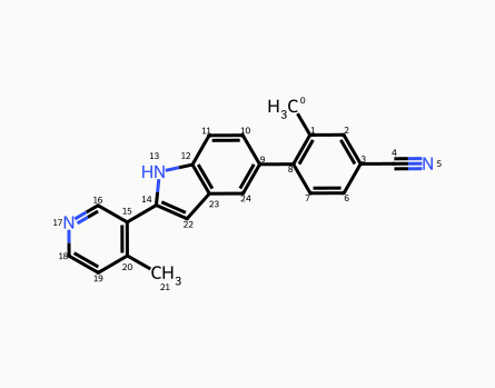 Cc1cc(C#N)ccc1-c1ccc2[nH]c(-c3cnccc3C)cc2c1